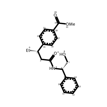 CC[C@@H](CC(=O)N[C@H](CO)c1ccccc1)c1ccc(C(=O)OC)cc1